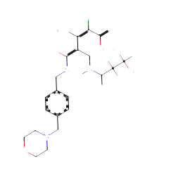 C=C(O)/C(O)=C(C=O)\C(CN(C)C(C=O)C(O)(O)C(O)(O)C=O)=C(/O)NCc1ccc(CN2CCOCC2)cc1